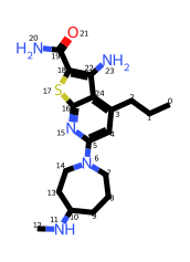 CCCc1cc(N2CCCC(NC)CC2)nc2sc(C(N)=O)c(N)c12